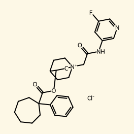 O=C(C[N+]12CCC(CC1)C(OC(=O)C1(c3ccccc3)CCCCCC1)C2)Nc1cncc(F)c1.[Cl-]